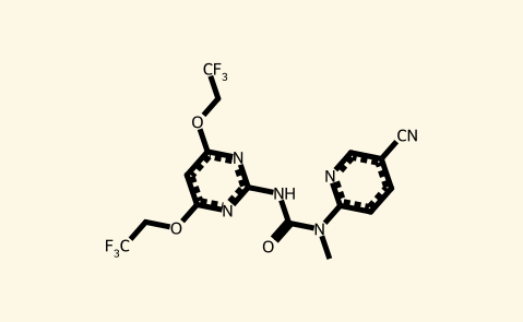 CN(C(=O)Nc1nc(OCC(F)(F)F)cc(OCC(F)(F)F)n1)c1ccc(C#N)cn1